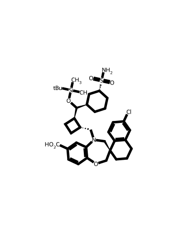 CC(C)(C)[Si](C)(C)OC([C@@H]1CCC[C@@H](S(N)(=O)=O)C1)[C@@H]1CC[C@H]1CN1C[C@@]2(CCCc3cc(Cl)ccc32)COc2ccc(C(=O)O)cc21